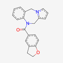 O=C(c1ccc2c(c1)CCO2)N1Cc2cccn2Cc2ccccc21